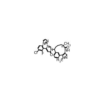 C[C@@H]1CCCC(n2cnc(-c3c(-n4ccnn4)ccc(Cl)c3F)cc2=O)c2cccc(c2)-c2c(cnn2C)NC1=O